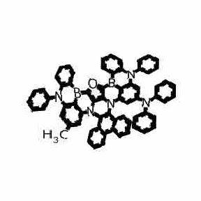 Cc1cc2c3c(c1)N1c4c(oc5c4N(c4cc(N(c6ccccc6)c6ccccc6)cc6c4B5c4ccccc4N6c4ccccc4)c4c1c1ccccc1c1ccccc41)B3c1ccccc1N2c1ccccc1